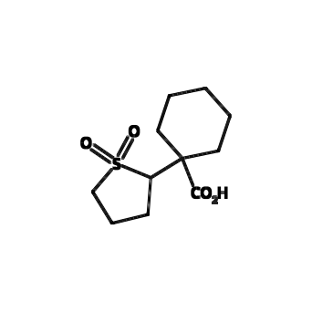 O=C(O)C1(C2CCCS2(=O)=O)CCCCC1